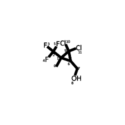 CC1(C(F)(F)F)C(CO)C1(Cl)Cl